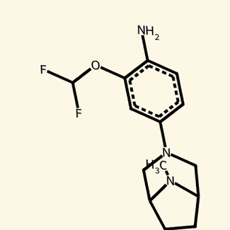 CN1C2CCC1CN(c1ccc(N)c(OC(F)F)c1)C2